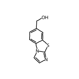 OCc1ccc2c(c1)sc1nccn12